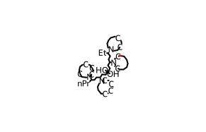 CCCC(CCC(CCC(O)(O)CCC(CCC(CC)N1CCCCCCCCCCC1)N1CCCCCCCCCCC1)N1CCCCCCCCCCC1)N1CCCCCCCCCCC1